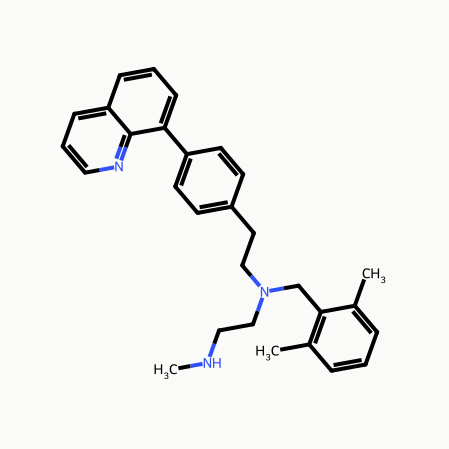 CNCCN(CCc1ccc(-c2cccc3cccnc23)cc1)Cc1c(C)cccc1C